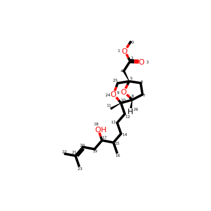 COC(=O)C[C@@]12CC[C@@H](O1)[C@](C)(CCCC(C)C(O)CC=C(C)C)OC2